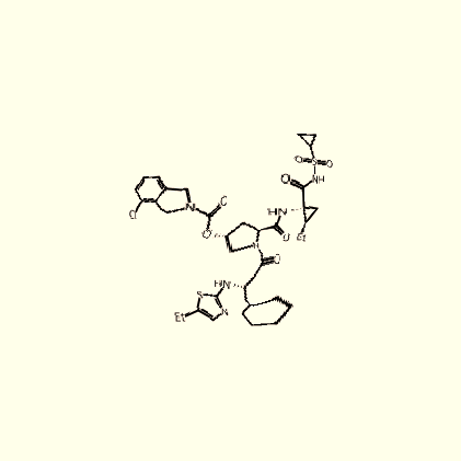 CCc1cnc(N[C@H](C(=O)N2C[C@H](OC(=O)N3Cc4cccc(Cl)c4C3)C[C@H]2C(=O)N[C@]2(C(=O)NS(=O)(=O)C3CC3)C[C@H]2CC)C2CCCCC2)s1